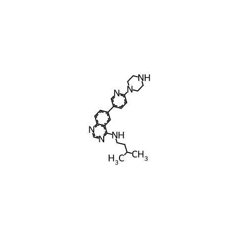 CC(C)CCNc1ncnc2ccc(-c3ccc(N4CCNCC4)nc3)cc12